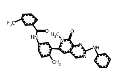 Cc1ccc(NC(=O)c2cccc(C(F)(F)F)c2)cc1-c1cc2cnc(Nc3ccccc3)nc2c(=O)n1C